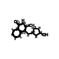 Cc1[nH]c(=O)c2ccccc2c1CN1CCC(O)C1